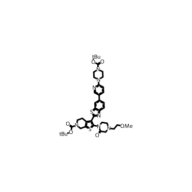 COCCN1CCN(c2sc3c(c2-c2nc4ccc(-c5ccc(N6CCN(C(=O)OC(C)(C)C)CC6)nc5)cc4s2)CCN(C(=O)OC(C)(C)C)C3)C(=O)C1